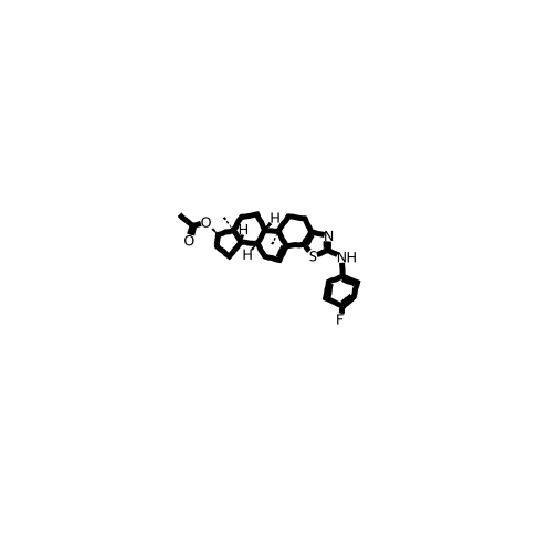 CC(=O)O[C@H]1CC[C@H]2[C@@H]3CC=C4c5sc(Nc6ccc(F)cc6)nc5CC[C@]4(C)[C@H]3CC[C@]12C